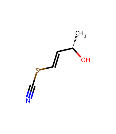 C[C@H](O)C=CSC#N